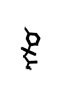 NC(=O)OS(=O)(=O)c1cc(I)ccn1